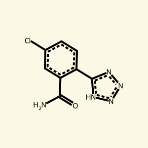 NC(=O)c1cc(Cl)ccc1-c1nnn[nH]1